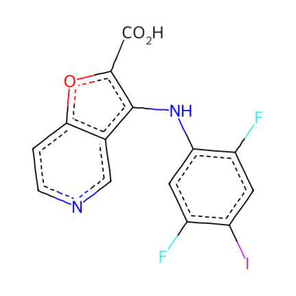 O=C(O)c1oc2ccncc2c1Nc1cc(F)c(I)cc1F